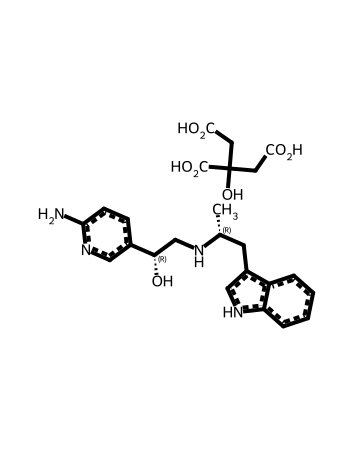 C[C@H](Cc1c[nH]c2ccccc12)NC[C@H](O)c1ccc(N)nc1.O=C(O)CC(O)(CC(=O)O)C(=O)O